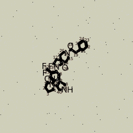 C[C@H]1CCC[N+]1(c1ccc(N2CCC3(CCN(C(=O)Cc4ccccc4)CC3)C2=O)c(C(F)(F)F)c1)[C@H]1CCNC1